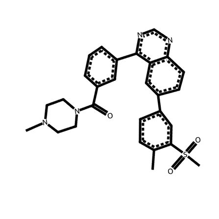 Cc1ccc(-c2ccc3ncnc(-c4cccc(C(=O)N5CCN(C)CC5)c4)c3c2)cc1S(C)(=O)=O